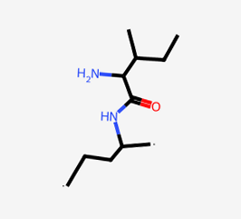 [CH2]CCC([CH2])NC(=O)C(N)C(C)CC